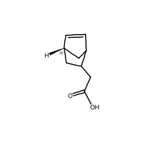 O=C(O)CC1C[C@@H]2C=CC1C2